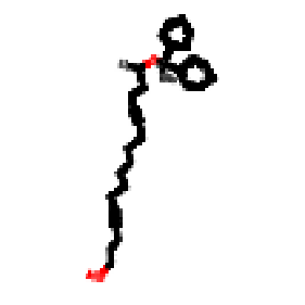 CCC(CCC#CCCCCCCC#CCCCO)O[Si](c1ccccc1)(c1ccccc1)C(C)(C)C